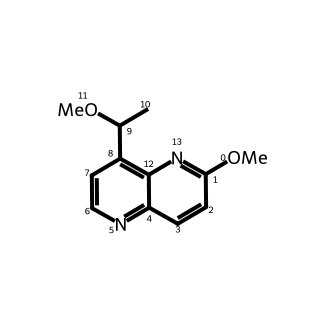 COc1ccc2nccc(C(C)OC)c2n1